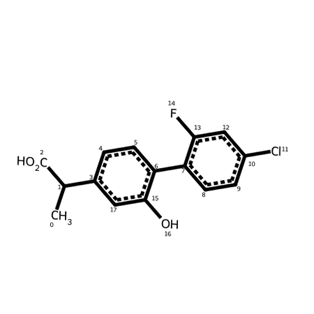 CC(C(=O)O)c1ccc(-c2ccc(Cl)cc2F)c(O)c1